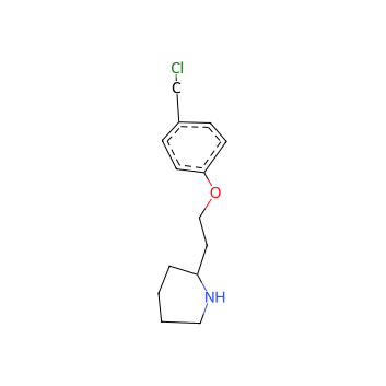 ClCc1ccc(OCCC2CCCCN2)cc1